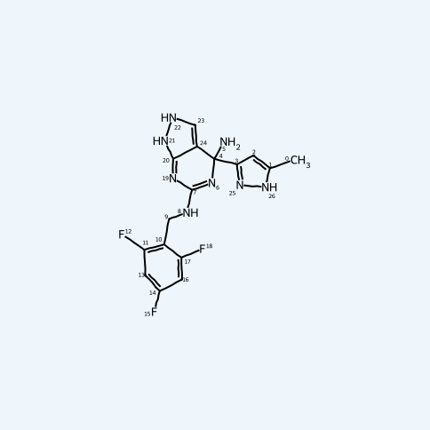 Cc1cc(C2(N)N=C(NCc3c(F)cc(F)cc3F)N=C3NNC=C32)n[nH]1